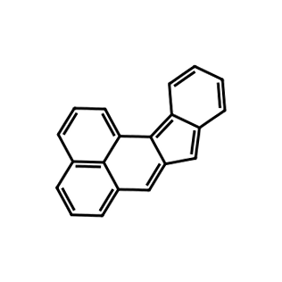 C1=c2ccccc2=c2c1cc1cccc3cccc2c31